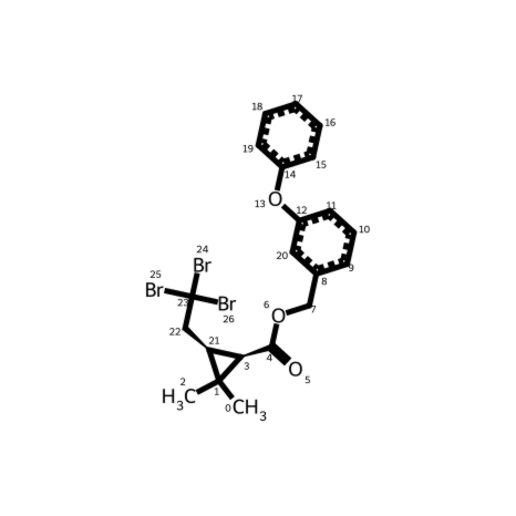 CC1(C)[C@H](C(=O)OCc2cccc(Oc3ccccc3)c2)[C@@H]1CC(Br)(Br)Br